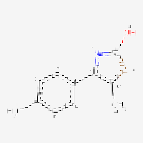 Cc1ccc(-c2nc(O)sc2C)cc1